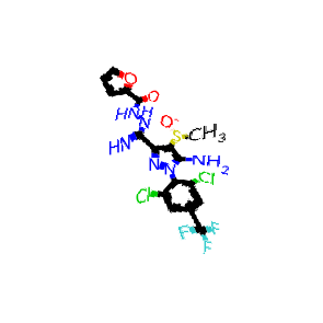 C[S+]([O-])c1c(C(=N)NNC(=O)c2ccco2)nn(-c2c(Cl)cc(C(F)(F)F)cc2Cl)c1N